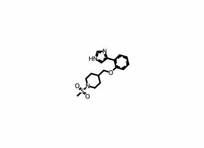 CS(=O)(=O)N1CCC(COc2ccccc2-c2c[nH]cn2)CC1